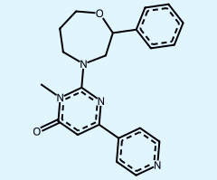 Cn1c(N2CCCOC(c3ccccc3)C2)nc(-c2ccncc2)cc1=O